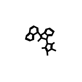 CC1=C(C)C(C)=C(C)[C]1C1C(C)=C(c2cccc3ccccc23)c2ccccc21